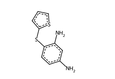 Nc1ccc(Sc2cccs2)c(N)c1